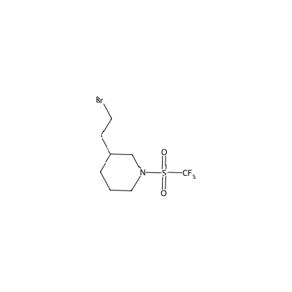 O=S(=O)(N1CCCC(CCBr)C1)C(F)(F)F